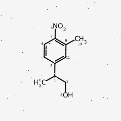 C[C](CO)c1ccc([N+](=O)[O-])c(C)c1